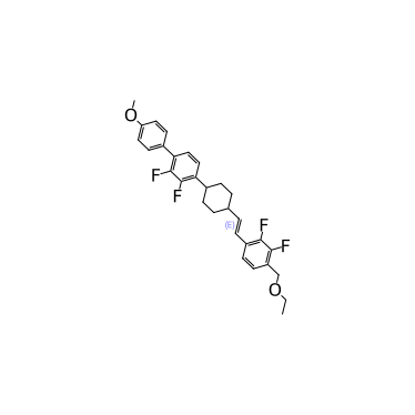 CCOCc1ccc(/C=C/C2CCC(c3ccc(-c4ccc(OC)cc4)c(F)c3F)CC2)c(F)c1F